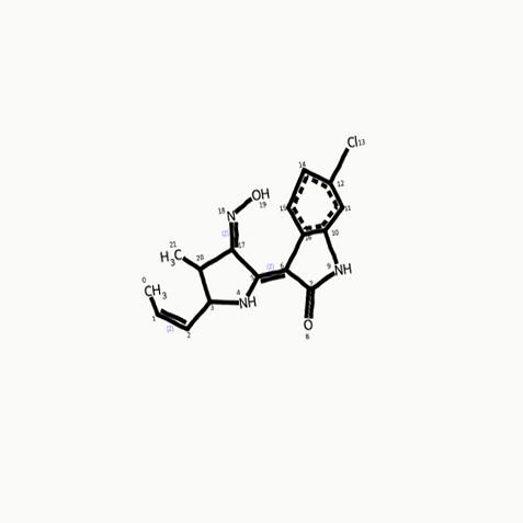 C/C=C\C1NC(=C2\C(=O)Nc3cc(Cl)ccc32)/C(=N\O)C1C